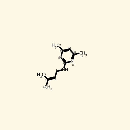 CC(C)=CCNc1nc(C)cc(C)n1